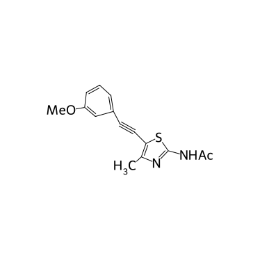 COc1cccc(C#Cc2sc(NC(C)=O)nc2C)c1